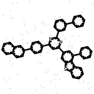 c1ccc(-c2cccc(-c3nc(-c4ccc(-c5ccc6ccccc6c5)cc4)cc(-c4cc(-c5ccccc5)c5c(c4)sc4ccccc45)n3)c2)cc1